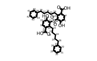 O=C(O)c1ccc(O)c(S(=O)(=O)c2c(O)ccc(C(=O)O)c2CCCCCc2ccccc2)c1CCCCCc1ccccc1